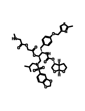 CNCC(=O)OCC(=O)O[C@H](CN(CC(C)C)S(=O)(=O)c1ccc2c(c1)OCO2)[C@H](Cc1ccc(OCc2csc(C)n2)cc1)NC(=O)O[C@H]1CO[C@H]2OCC[C@H]21